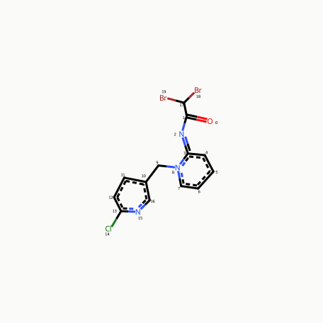 O=C(/N=c1\ccccn1Cc1ccc(Cl)nc1)C(Br)Br